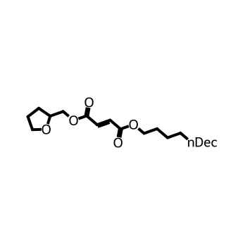 CCCCCCCCCCCCCCOC(=O)/C=C/C(=O)OCC1CCCO1